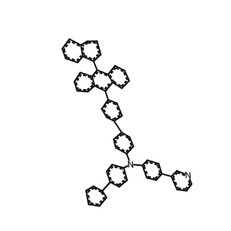 c1ccc(-c2ccc(N(c3ccc(-c4ccc(-c5c6ccccc6c(-c6cccc7ccccc67)c6ccccc56)cc4)cc3)c3ccc(-c4cccnc4)cc3)cc2)cc1